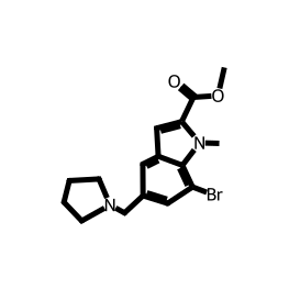 COC(=O)c1cc2cc(CN3CCCC3)cc(Br)c2n1C